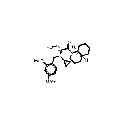 COc1ccc(CN(C2CC2)[C@H](CO)C(=O)N2CCC[C@@H]3CCCC[C@@H]32)c(OC)c1